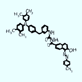 Cc1ccc(N=Nc2c(O)ccc3cc(C(=O)NC(=O)Nc4cccc(Cc5ccc(N(c6ccc(C)c(C)c6)c6ccc(C)c(C)c6)cc5)c4)ccc23)cc1